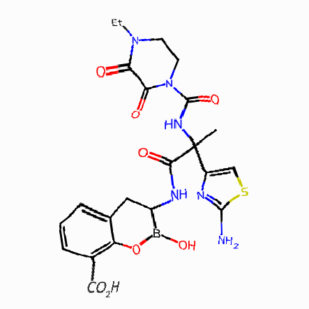 CCN1CCN(C(=O)NC(C)(C(=O)NC2Cc3cccc(C(=O)O)c3OB2O)c2csc(N)n2)C(=O)C1=O